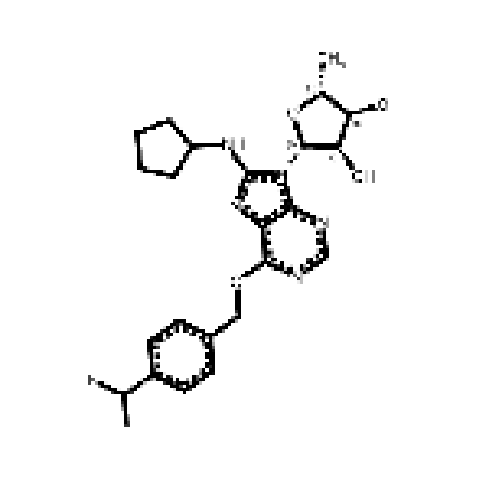 C[C@H]1O[C@@H](n2c(NC3CCCC3)nc3c(OCc4ccc(C(F)F)cc4)ncnc32)[C@H](O)[C@@H]1O